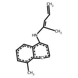 C=C/C=C(\C)Nc1cccc2c(C)cccc12